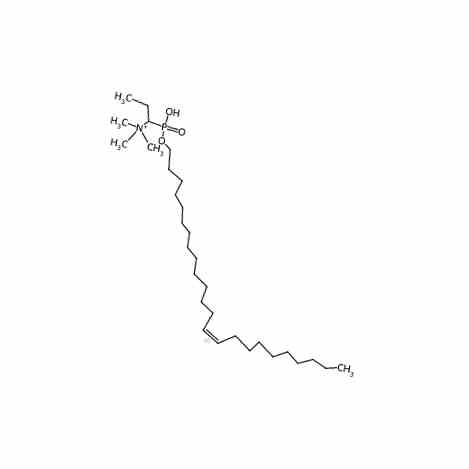 CCCCCCCCC/C=C\CCCCCCCCCCCCCOP(=O)(O)C(CC)[N+](C)(C)C